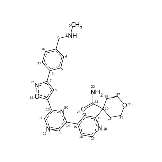 CNCc1ccc(-c2cc(-c3cncc(-c4ccnc(C5(C(N)=O)CCOCC5)c4)n3)on2)cc1